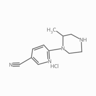 CC1CNCCN1c1ccc(C#N)cn1.Cl